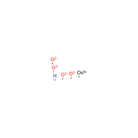 [N].[O-2].[O-2].[O-2].[O-2].[Os+8]